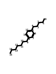 C[CH]CCCc1ccc(CCCCCCC)cc1